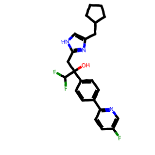 OC(Cc1nc(CC2CCCC2)c[nH]1)(c1ccc(-c2ccc(F)cn2)cc1)C(F)F